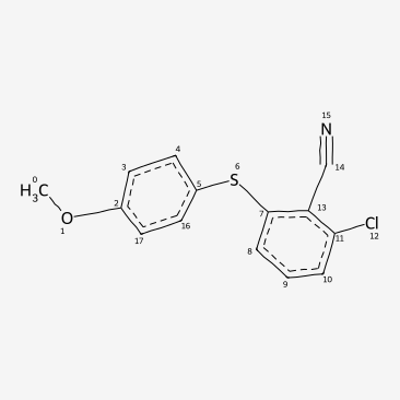 COc1ccc(Sc2cccc(Cl)c2C#N)cc1